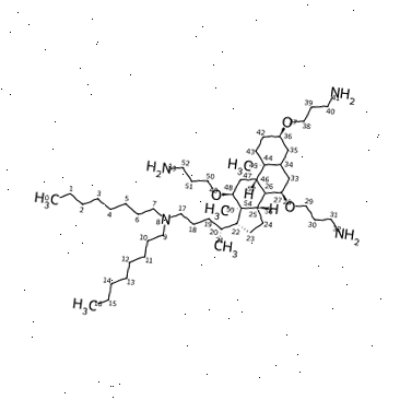 CCCCCCCCN(CCCCCCCC)CCC[C@@H](C)[C@H]1CC[C@H]2C3[C@H](OCCCN)CC4C[C@H](OCCCN)CC[C@]4(C)[C@H]3C[C@H](OCCCN)[C@]12C